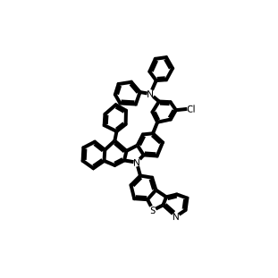 Clc1cc(-c2ccc3c(c2)c2c(-c4ccccc4)c4ccccc4cc2n3-c2ccc3sc4ncccc4c3c2)cc(N(c2ccccc2)c2ccccc2)c1